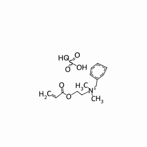 C=CC(=O)OCC[N+](C)(C)Cc1ccccc1.O=S(=O)(O)O